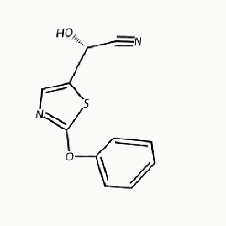 N#C[C@@H](O)c1cnc(Oc2ccccc2)s1